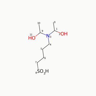 CC(O)N(CCCCS(=O)(=O)O)C(C)O